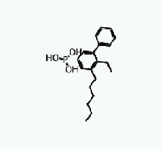 CCCCCCc1cccc(-c2ccccc2)c1CC.OP(O)O